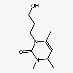 CC1=CC(C)N(C)C(=O)N1CCCO